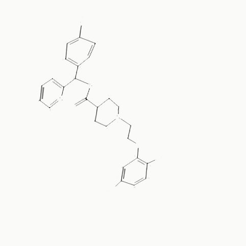 O=C(NC(c1ccc(Cl)cc1)c1ccccn1)C1CCN(CCOc2cc(F)ccc2F)CC1